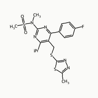 Cc1nnc(SCc2c(-c3ccc(F)cc3)nc(N(C)S(C)(=O)=O)nc2C(C)C)s1